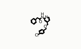 O=C(Cc1ccccc1)Nc1cc(COCc2ccc(Cl)cc2)ccn1